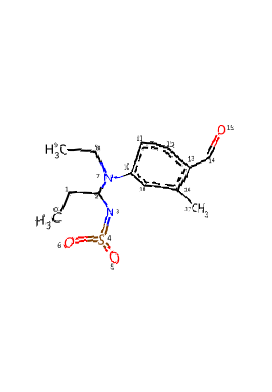 CCC(N=S(=O)=O)N(CC)c1ccc(C=O)c(C)c1